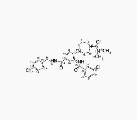 CN(C)C(=O)N1CCCN(c2ccc(C(=O)NCCc3ccc(Cl)cc3)cc2NC(=O)c2cccc(Cl)c2)CC1